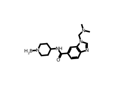 BN1CCC(NC(=O)c2ccc3ncn(CN(C)C)c3c2)CC1